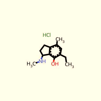 CCc1cc(C)c2c(c1O)C(NC)CC2.Cl